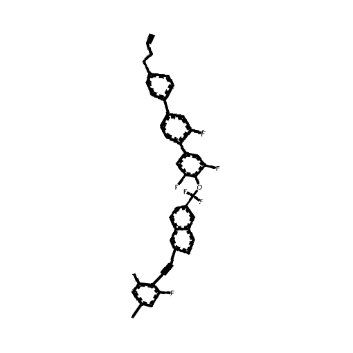 C=CCCc1ccc(-c2ccc(-c3cc(F)c(OC(F)(F)c4ccc5cc(C#Cc6c(C)cc(C)cc6F)ccc5c4)c(F)c3)c(F)c2)cc1